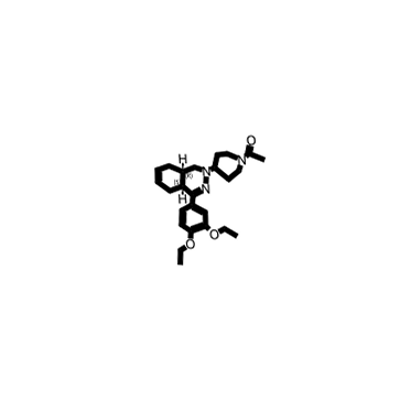 CCOc1ccc(C2=NN(C3CCN(C(C)=O)CC3)C[C@@H]3CC=CC[C@H]23)cc1OCC